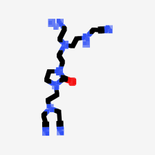 N#CCNCCN(CCN)CCN1CCN(CCN(CC#N)CC#N)C1=O